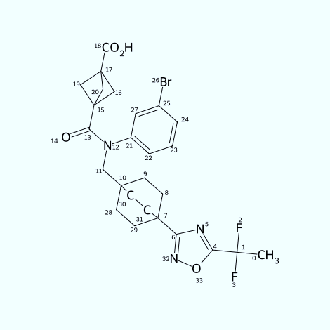 CC(F)(F)c1nc(C23CCC(CN(C(=O)C45CC(C(=O)O)(C4)C5)c4cccc(Br)c4)(CC2)CC3)no1